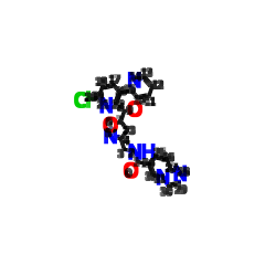 O=C(NCC1=NOC(COc2cccnc2-c2ccc(Cl)nc2)C1)c1ccc2nccn2c1